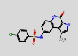 O=C(O)c1c[nH]c2c(=O)[nH]c3ccc(NS(=O)(=O)c4ccc(Cl)cc4)cc3c12